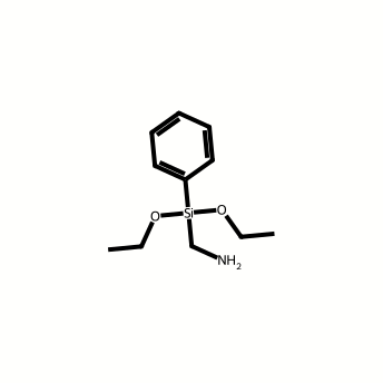 CCO[Si](CN)(OCC)c1ccccc1